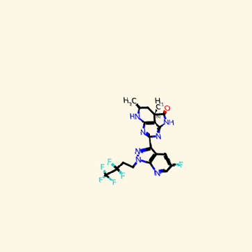 C=C1C[C@]2(C)C(=O)Nc3nc(-c4nn(CCC(F)(F)C(F)(F)F)c5ncc(F)cc45)nc(c32)N1